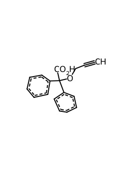 C#CCOC(C(=O)O)(c1ccccc1)c1ccccc1